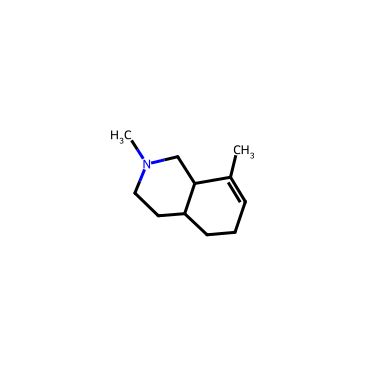 CC1=CCCC2CCN(C)CC12